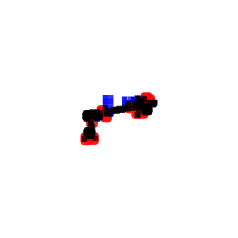 CCC1OOCC2=C(C)NC(COCCCCCCCNC(=O)O[C@@H]3CCN([C@@H]4CCCC[C@H]4OCCc4ccc(OC)c(OC)c4)C3)=C(C(=O)OC)C2c2ccccc21